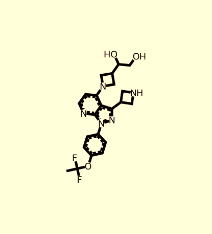 CC(F)(F)Oc1ccc(-n2nc(C3CNC3)c3c(N4CC(C(O)CO)C4)ccnc32)cc1